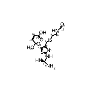 N=C(N)Nc1nc(CSCCNC=O)cs1.O=C(O)/C=C\C(=O)O